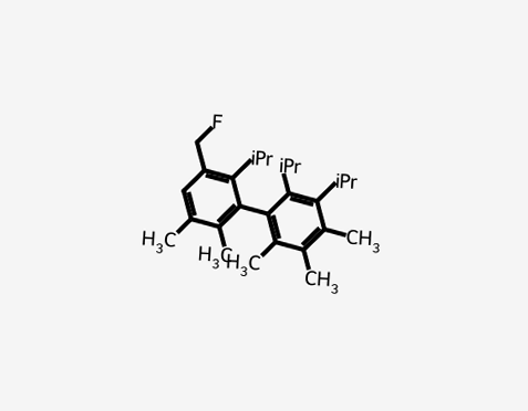 Cc1cc(CF)c(C(C)C)c(-c2c(C)c(C)c(C)c(C(C)C)c2C(C)C)c1C